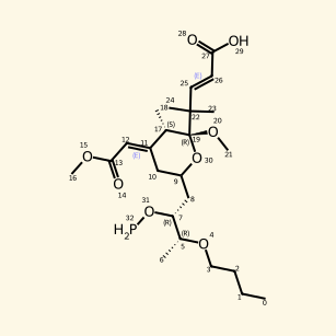 CCCCO[C@H](C)[C@@H](CC1C/C(=C\C(=O)OC)[C@H](C)[C@](OC)(C(C)(C)/C=C/C(=O)O)O1)OP